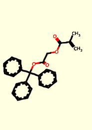 C=C(C)C(=O)OCC(=O)OC(c1ccccc1)(c1ccccc1)c1ccccc1